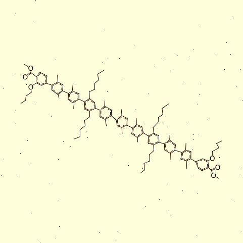 CCCCCCc1cc(-c2cc(C)c(-c3cc(C)c(-c4cc(C)c(-c5cc(CCCCCC)c(-c6cc(C)c(-c7cc(C)c(-c8ccc(C(=O)OC)c(OCCCC)c8)cc7C)cc6C)cc5CCCCCC)cc4C)cc3C)cc2C)c(CCCCCC)cc1-c1cc(C)c(-c2cc(C)c(-c3ccc(C(=O)OC)c(OCCCC)c3)cc2C)cc1C